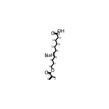 C=C(C)C(=O)OCCCCCCCCCCC(=O)O.[NaH]